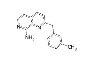 Cc1cccc(Cc2ccc3ccnc(N)c3n2)c1